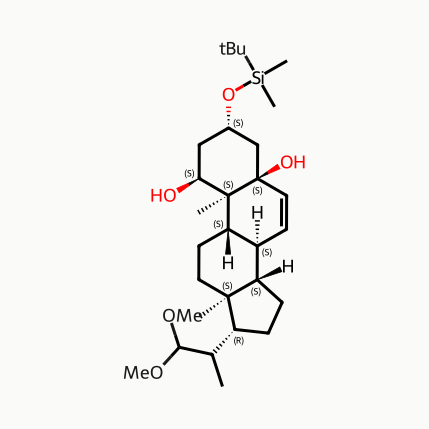 COC(OC)C(C)[C@H]1CC[C@H]2[C@@H]3C=C[C@@]4(O)C[C@@H](O[Si](C)(C)C(C)(C)C)C[C@H](O)[C@]4(C)[C@H]3CC[C@]12C